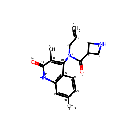 C=CCN(C(=O)C1CNC1)c1c(C#N)c(=O)[nH]c2cc(C)ccc12